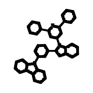 c1ccc(-c2cc(-n3c(-c4cccc(-n5c6ccccc6c6ccccc65)c4)cc4ccccc43)cc(-c3ccccc3)n2)cc1